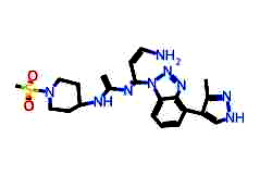 C=C(/N=C(\C=C/N)n1nnc2c(-c3c[nH]nc3C)cccc21)NC1CCN(S(C)(=O)=O)CC1